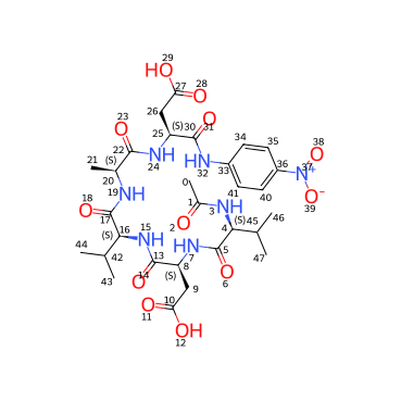 CC(=O)N[C@H](C(=O)N[C@@H](CC(=O)O)C(=O)N[C@H](C(=O)N[C@@H](C)C(=O)N[C@@H](CC(=O)O)C(=O)Nc1ccc([N+](=O)[O-])cc1)C(C)C)C(C)C